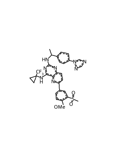 COc1ccc(-c2ccc3nc(NC(C)c4ccc(-n5cncn5)cc4)nc(NC4(C(F)(F)F)CC4)c3n2)cc1S(C)(=O)=O